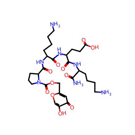 NCCCCC(NC(=O)C(CCC(=O)O)NC(=O)C(CCCCN)NC(=O)C1CCCN1C(=O)OCc1cc(=O)c(O)co1)C(N)=O